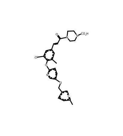 Cc1ccc(COc2ccc(Oc3c(C)cc(C=CC(=O)N4CCN(C(=O)O)CC4)cc3Cl)nc2)cc1